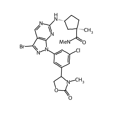 CNC(=O)[C@]1(C)CC[C@@H](Nc2ncc3c(Br)nn(-c4cc(Cl)cc(C5COC(=O)N5C)c4)c3n2)C1